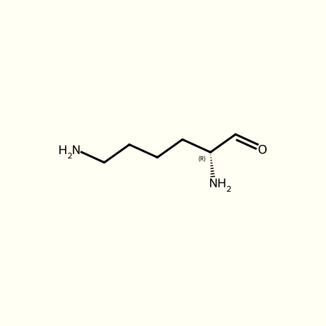 NCCCC[C@@H](N)C=O